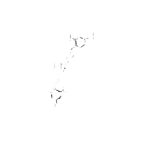 Clc1ccc(CSCCNCCSCc2ccc(Cl)cc2Cl)c(Cl)c1